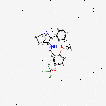 COc1ccc(OC(F)(F)F)cc1CNC1C2CCC(C2)NC1c1ccccc1